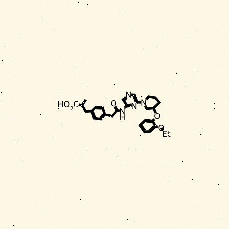 CCOc1ccccc1OC1CCCN(c2cncc(NC(=O)Cc3ccc(CC(C)C(=O)O)cc3)n2)C1